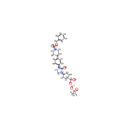 CC(C)(C)C(=O)OCOC(=O)[C@H]1CC[C@H](N2CCN(c3ccc(C4CCN(C(=O)OCc5ccccc5)CC4)cc3)C2=O)CC1